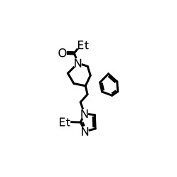 CCC(=O)N1CCC(CCn2ccnc2CC)CC1.c1ccccc1